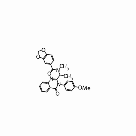 COc1ccc(-n2c(C(C)N(C)C(=O)c3ccc4c(c3)OCO4)nc3ccccc3c2=O)cc1